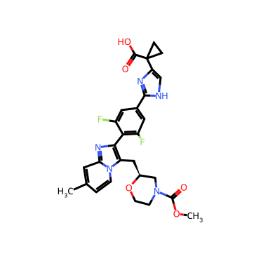 COC(=O)N1CCO[C@@H](Cc2c(-c3c(F)cc(-c4nc(C5(C(=O)O)CC5)c[nH]4)cc3F)nc3cc(C)ccn23)C1